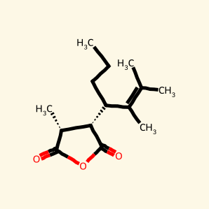 CCCC(C(C)=C(C)C)[C@@H]1C(=O)OC(=O)[C@@H]1C